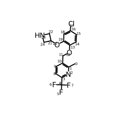 Cc1nc(C(F)(F)F)ccc1COc1ccc(Cl)cc1OC1CNC1